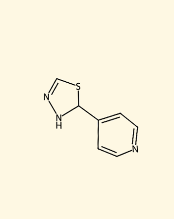 C1=NNC(c2ccncc2)S1